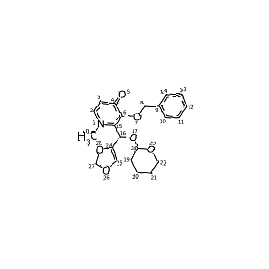 Cn1ccc(=O)c(OCc2ccccc2)c1C(OC1CCCCO1)C1=COCO1